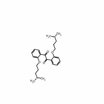 CN(C)CCCOc1ccccc1C(=O)C(=O)c1ccccc1OCCCN(C)C